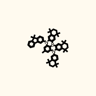 Cc1cc2c3c(c1)N(c1ccc4c(c1)C(C)(C)CCC4(C)C)c1cc4c(cc1B3c1cc3c(cc1N2c1ccc2c(c1)-c1ccccc1C2(C)C)C(C)(C)CCC3(C)C)C(C)(C)CCC4(C)C